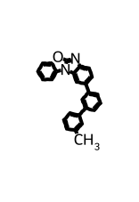 Cc1cccc(-c2cccc(-c3ccc4nc5oc6ccccc6n5c4c3)c2)c1